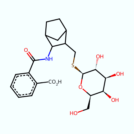 O=C(O)c1ccccc1C(=O)NC1C2CCC(C2)C1CS[C@@H]1O[C@H](CO)[C@H](O)[C@H](O)[C@H]1O